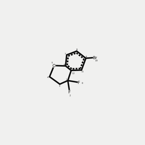 FC1(F)CCOc2ccc(Br)cc21